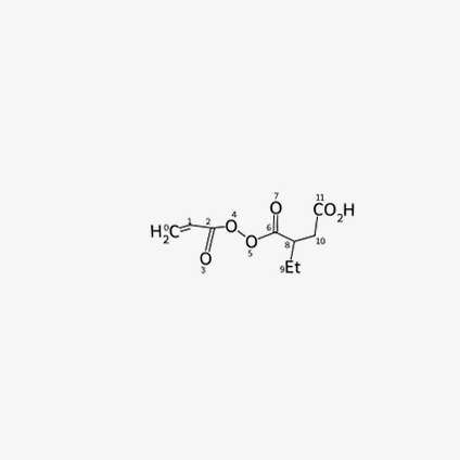 C=CC(=O)OOC(=O)C(CC)CC(=O)O